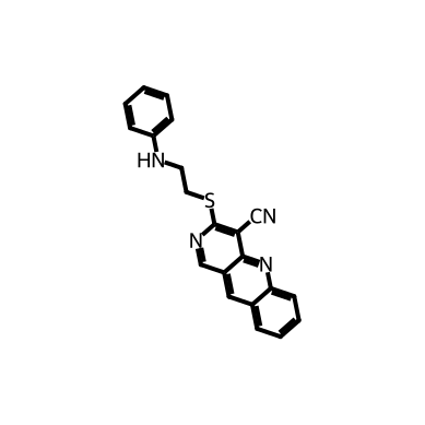 N#Cc1c(SCCNc2ccccc2)ncc2cc3ccccc3nc12